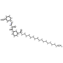 CCCCCCCCCCCCCCCCCCC(=O)c1cccc(NC(=O)/C=C/c2cccc(O)c2)c1